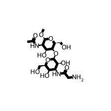 CO[C@@H]1O[C@H](CO)[C@@H](O[C@@H]2O[C@H](CO)[C@H](O)[C@H](NC(=O)CN)[C@H]2O)[C@H](O)[C@H]1NC(C)=O